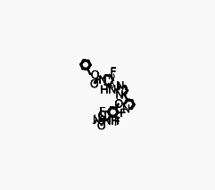 CN(C)S(=O)(=O)Nc1c(F)cc(Oc2ncccc2-c2ccnc(N[C@H]3C[C@H](F)CN(C(=O)OCc4ccccc4)C3)n2)c(F)c1F